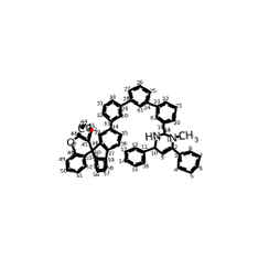 CN1C(c2ccccc2)=CC(c2ccccc2)NC1c1cccc(-c2cccc(-c3cccc(-c4ccc5c(c4)C4(c6ccccc6Oc6ccccc64)c4ccccc4-5)c3)c2)c1